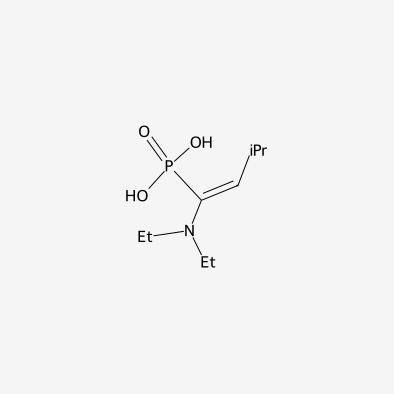 CCN(CC)C(=CC(C)C)P(=O)(O)O